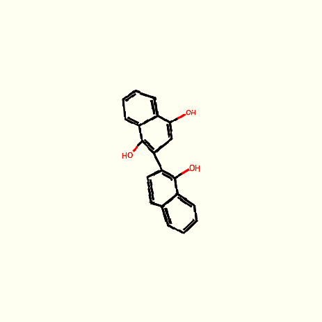 Oc1c(-c2cc(O)c3ccccc3c2O)ccc2ccccc12